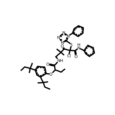 CCC(Oc1ccc(C(C)(C)CC)cc1C(C)(C)CC)C(=O)NCC(C)(C)C(=O)C(Cl)(Sc1nnnn1-c1ccccc1)C(=O)Nc1ccccc1